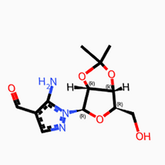 CC1(C)O[C@@H]2[C@H](O1)[C@@H](CO)O[C@H]2n1ncc(C=O)c1N